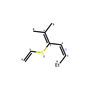 C=CSC(/C=C\CC)=C(C)C